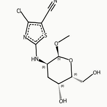 CO[C@H]1O[C@H](CO)[C@H](O)C[C@H]1Nc1nc(Cl)c(C#N)s1